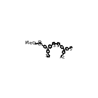 COCCOC(=O)CCc1ccc(N(c2ccc(-c3cccs3)cc2)c2ccc(-c3ccc(-c4ccc(-c5ccc(N(c6ccc(CCC(C)=O)cc6)c6ccc(-c7cccs7)cc6)cc5)s4)s3)cc2)cc1